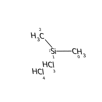 C[Si]C.Cl.Cl